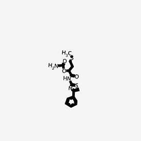 CSCCC(OC(N)=O)C(=O)Nc1nc(-c2ccccc2)cs1